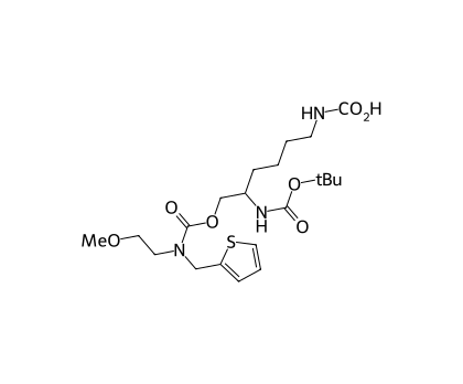 COCCN(Cc1cccs1)C(=O)OCC(CCCCNC(=O)O)NC(=O)OC(C)(C)C